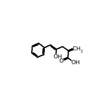 C=C(CC(O)=Cc1ccccc1)C(=O)O